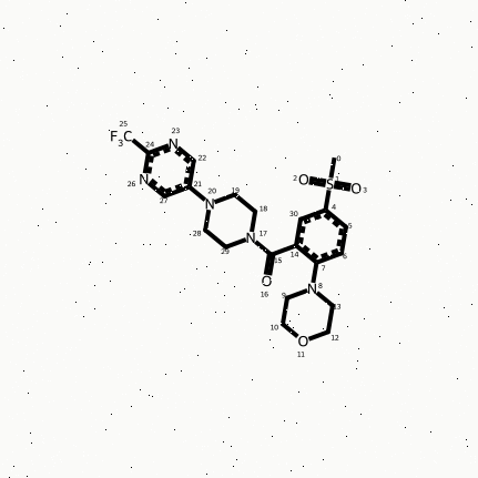 CS(=O)(=O)c1ccc(N2CCOCC2)c(C(=O)N2CCN(c3cnc(C(F)(F)F)nc3)CC2)c1